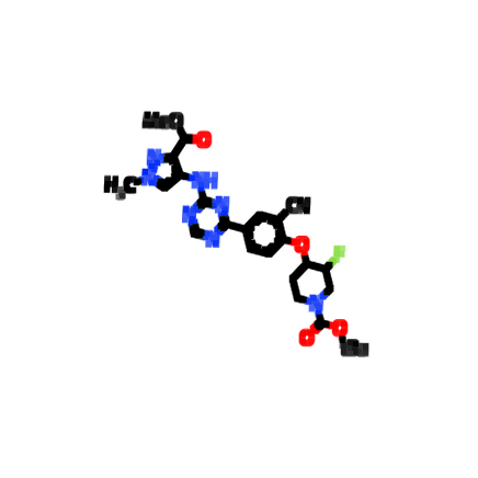 COC(=O)c1nn(C)cc1Nc1ncnc(-c2ccc(OC3CCN(C(=O)OC(C)(C)C)CC3F)c(C#N)c2)n1